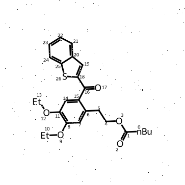 CCCCC(=O)OCCc1cc(OCC)c(OCC)cc1C(=O)c1cc2ccccc2s1